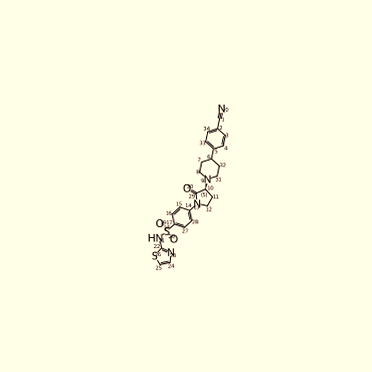 N#Cc1ccc(C2CCN([C@H]3CCN(c4ccc(S(=O)(=O)Nc5nccs5)cc4)C3=O)CC2)cc1